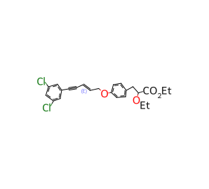 CCOC(=O)C(Cc1ccc(OC/C=C/C#Cc2cc(Cl)cc(Cl)c2)cc1)OCC